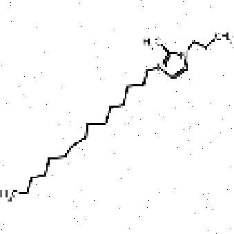 CCCCCCCCCCCCCCC[n+]1ccn(CCC)c1C